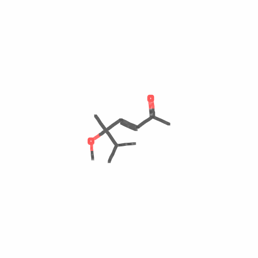 COC(C)(C=CC(C)=O)C(C)C